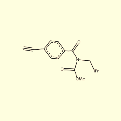 [C]#Cc1ccc(C(=O)N(CC(C)C)C(=O)OC)cc1